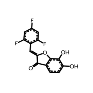 O=C1C(=Cc2c(F)cc(F)cc2F)Oc2c1ccc(O)c2O